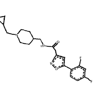 O=C(NCC1CCN(CC2CC2)CC1)c1cc(-c2ccc(F)cc2F)on1